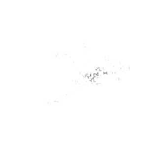 CCCCCCCCCCCCCCCCCCC(O)CC(CCCCCCCCCCC=S)(CC(O)CCCCCCCCCCCCCCCCCC)OP(=O)(O)OP(=O)(O)OP(=O)(O)OC[C@@H](O)[C@@H](O)[C@H](O)[C@H](O)CO